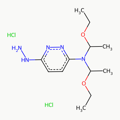 CCOC(C)N(c1ccc(NN)nn1)C(C)OCC.Cl.Cl